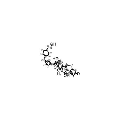 C[C@]12C=CC(=O)C=C1CC[C@@H]1[C@@H]2[C@@H](O)C[C@@]2(C)[C@H]1C[C@H]1O[C@@H](c3ccn(Cc4ccc(CCO)cc4)c3)O[C@]12C(=O)CO